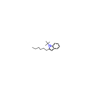 CCCCCCc1cc2ccccc2n1C(C)(C)C